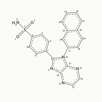 NS(=O)(=O)c1ccc(-c2nc3nccnc3n2-c2ccc3ccccc3c2)cc1